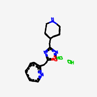 Cl.Cl.c1ccc(-c2nc(C3CCNCC3)no2)nc1